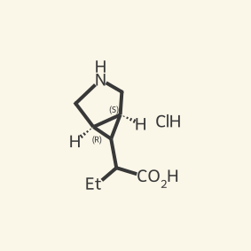 CCC(C(=O)O)C1[C@H]2CNC[C@@H]12.Cl